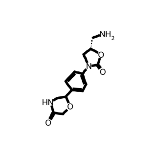 NC[C@H]1CN(c2ccc(C3CNC(=O)CO3)cc2)C(=O)O1